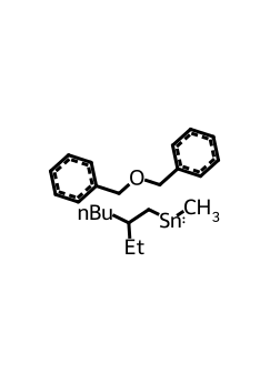 CCCCC(CC)[CH2][Sn][CH3].c1ccc(COCc2ccccc2)cc1